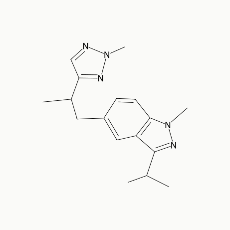 CC(C)c1nn(C)c2ccc(CC(C)c3cnn(C)n3)cc12